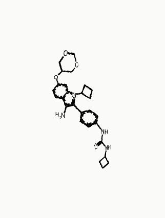 Nc1c(-c2ccc(NC(=O)NC3CCC3)cc2)n(C2CCC2)c2cc(OC3COCOC3)ccc12